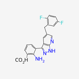 Nc1c(C(=O)O)cccc1-c1n[nH]c2ncc(Cc3cc(F)ccc3F)cc12